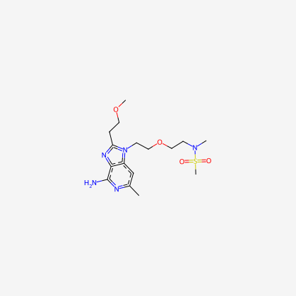 COCCc1nc2c(N)nc(C)cc2n1CCOCCN(C)S(C)(=O)=O